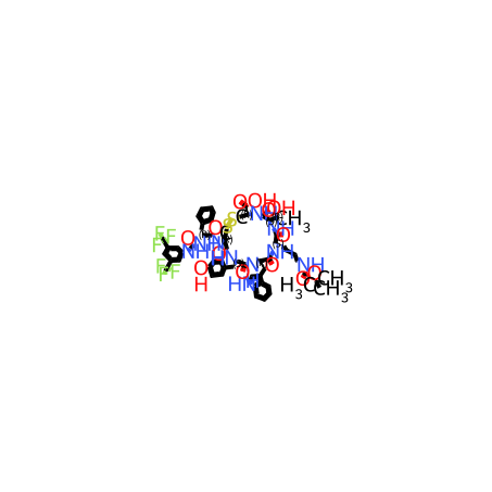 C[C@@H](O)[C@@H]1NC(=O)[C@H](CCCCNC(=O)OC(C)(C)C)NC(=O)[C@@H](Cc2c[nH]c3ccccc23)NC(=O)[C@H](Cc2ccc(O)cc2)NC(=O)[C@@H](NC(=O)[C@@H](Cc2ccccc2)NC(=O)Nc2cc(C(F)(F)F)cc(C(F)(F)F)c2)CSSC[C@@H](C(=O)O)NC1=O